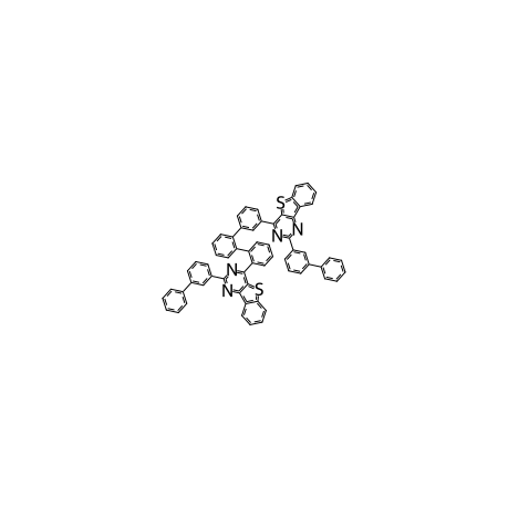 c1ccc(-c2cccc(-c3nc(-c4cccc(-c5ccccc5-c5ccccc5-c5nc(-c6cccc(-c7ccccc7)c6)nc6c5sc5ccccc56)c4)c4sc5ccccc5c4n3)c2)cc1